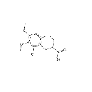 COc1cc2c(c(Cl)c1OC)CC(C(=O)O)CC2